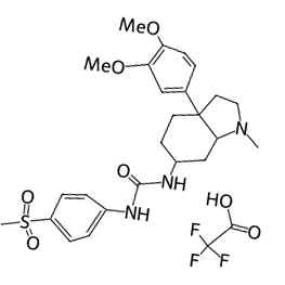 COc1ccc(C23CCC(NC(=O)Nc4ccc(S(C)(=O)=O)cc4)CC2N(C)CC3)cc1OC.O=C(O)C(F)(F)F